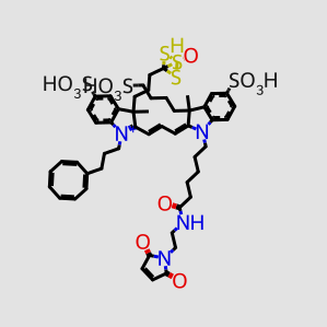 CC1(CCCC23S[SH]2(=O)S3)C(/C=C/C=C2/N(CCCCCC(=O)NCCN3C(=O)C=CC3=O)c3ccc(S(=O)(=O)O)cc3C2(C)CCCCS(=O)(=O)O)=[N+](CCCC2=C/C=C\C=C/C=C\2)c2ccc(S(=O)(=O)O)cc21